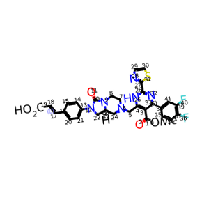 COC(=O)C1=C(CN2CCN3C(=O)N(c4ccc(/C=C/C(=O)O)cc4)C[C@@H]3C2)NC(c2nccs2)=N[C@H]1c1ccc(F)c(F)c1